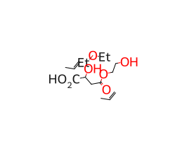 C=CC.C=CC.CCOCC.O=C(CC(O)C(=O)O)OCCO